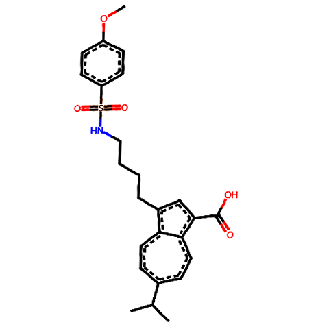 COc1ccc(S(=O)(=O)NCCCCc2cc(C(=O)O)c3ccc(C(C)C)ccc2-3)cc1